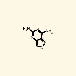 Nc1nc(N)c2nscc2n1